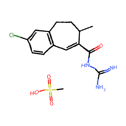 CC1CCc2cc(Cl)ccc2C=C1C(=O)NC(=N)N.CS(=O)(=O)O